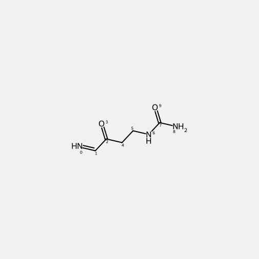 N=CC(=O)CCNC(N)=O